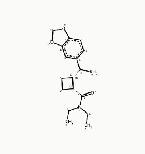 CCN(CC)C(=O)[C@@H]1CC[C@@H]1C(N)c1ccc2c(c1)OCO2